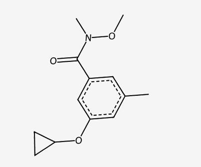 CON(C)C(=O)c1cc(C)cc(OC2CC2)c1